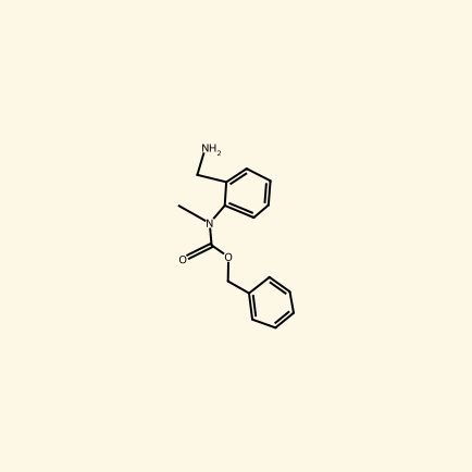 CN(C(=O)OCc1ccccc1)c1ccccc1CN